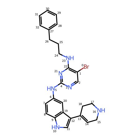 Brc1cnc(Nc2ccc3[nH]cc(C4=CCNCC4)c3c2)nc1NCCCc1ccccc1